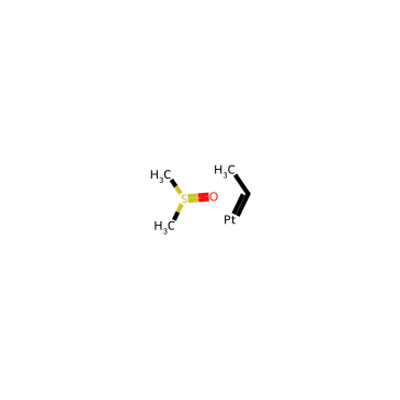 CS(C)=O.C[CH]=[Pt]